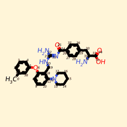 Cc1cccc(Oc2cccc(N3CCCCC3)c2CNC(N)=NC(=O)c2ccc(CC(N)C(=O)O)cc2)c1